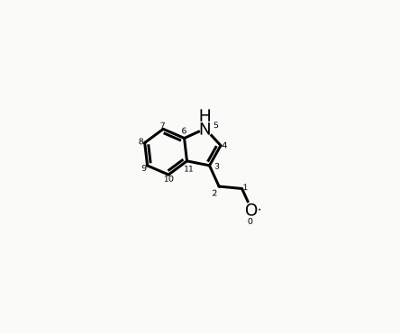 [O]CCc1c[nH]c2ccccc12